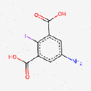 Nc1cc(C(=O)O)c(I)c(C(=O)O)c1